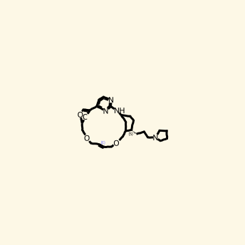 C1=C2CC(COC/C=C/COCC3CC(CC[C@@H]3CCCN3CCCC3)Nc3nccc2n3)O1